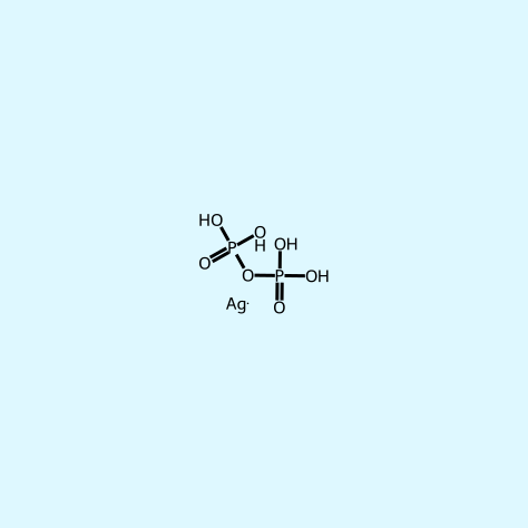 O=P(O)(O)OP(=O)(O)O.[Ag]